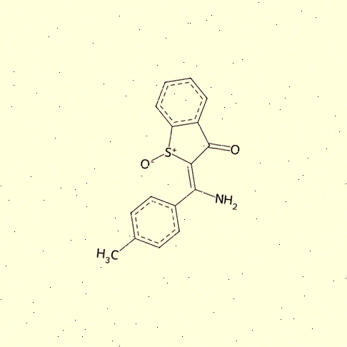 Cc1ccc(C(N)=C2C(=O)c3ccccc3[S+]2[O-])cc1